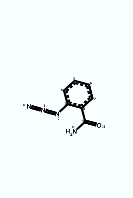 [N-]=[N+]=Nc1ccccc1C(N)=O